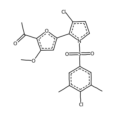 COc1cc(-c2c(Cl)ccn2S(=O)(=O)c2cc(C)c(Cl)c(C)c2)oc1C(C)=O